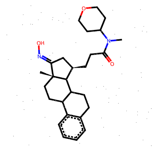 CN(C(=O)CC[C@@H]1C/C(=N\O)[C@@]2(C)CCC3c4ccccc4CCC3C12)C1CCOCC1